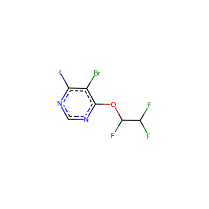 FC(F)C(F)Oc1ncnc(I)c1Br